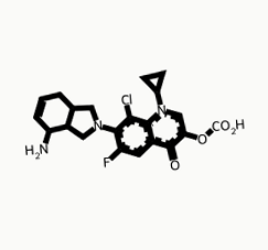 NC1C=CCC2CN(c3c(F)cc4c(=O)c(OC(=O)O)cn(C5CC5)c4c3Cl)CC12